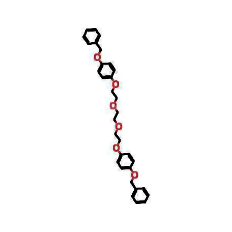 c1ccc(COc2ccc(OCCOCCOCCOc3ccc(OCc4ccccc4)cc3)cc2)cc1